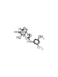 Cc1cc(C)cc(NC(=O)O[C@H]2[C@H](O)[C@@H](O)[C@@H]3OC[C@H]2O3)c1